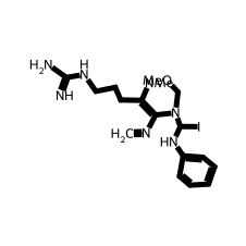 C=N/C(=C(\CCCNC(=N)N)NC)N(COC)C(I)Nc1ccccc1